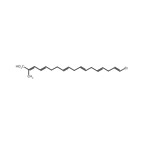 CCC=CCC=CCC=CCC=CCCC=CC=C(C)C(=O)O